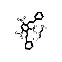 CCNCC.O=[N+]([O-])c1cc([N+](=O)[O-])c(C=Cc2ccccc2)c([N+](=O)[O-])c1C=Cc1ccccc1